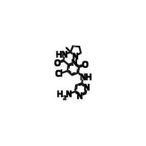 CC12CCCN1n1c(c(Cl)cc(Nc3cc(N)ncn3)c1=O)C(=O)N2